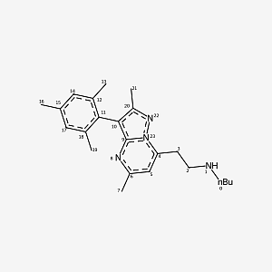 CCCCNCCc1cc(C)nc2c(-c3c(C)cc(C)cc3C)c(C)nn12